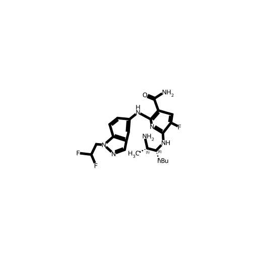 CCCC[C@@H](Nc1nc(Nc2ccc3c(cnn3CC(F)F)c2)c(C(N)=O)cc1F)[C@H](C)N